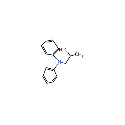 CC(C)CN(c1cc[c]cc1)c1ccccc1